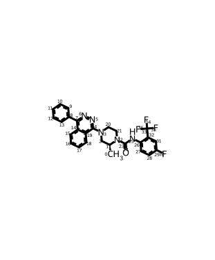 C[C@H]1CN(c2nnc(-c3ccccc3)c3ccccc23)CCN1C(=O)Nc1ccc(F)cc1C(F)(F)F